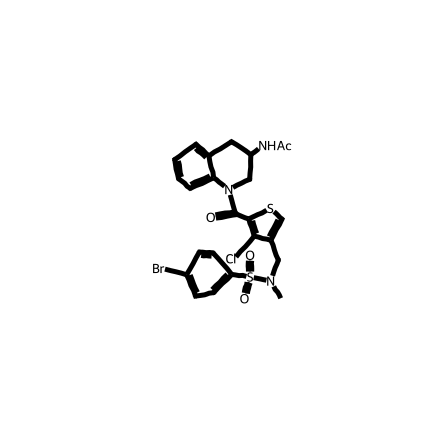 CC(=O)NC1Cc2ccccc2N(C(=O)c2scc(CN(C)S(=O)(=O)c3ccc(Br)cc3)c2Cl)C1